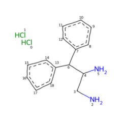 Cl.Cl.NCC(N)C(c1ccccc1)c1ccccc1